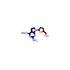 COc1nc(N)nc2c1ccn2C1CCC(CO)O1